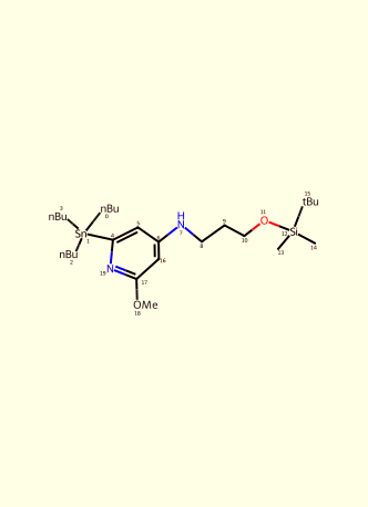 CCC[CH2][Sn]([CH2]CCC)([CH2]CCC)[c]1cc(NCCCO[Si](C)(C)C(C)(C)C)cc(OC)n1